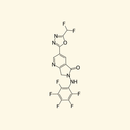 O=C1c2cc(-c3nnc(C(F)F)o3)cnc2CN1Nc1c(F)c(F)c(F)c(F)c1F